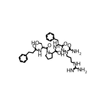 N=C(N)NCCCN(NC(=O)[C@H](Cc1ccccc1)NC(=O)C1CCCN1C(=O)[C@H](CO)NC(=O)CCc1ccccc1)C(N)=O